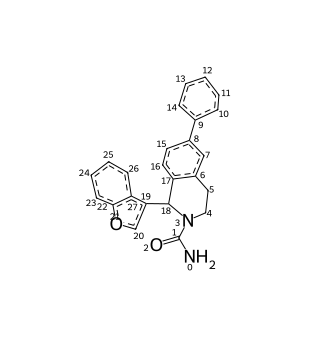 NC(=O)N1CCc2cc(-c3ccccc3)ccc2C1c1coc2ccccc12